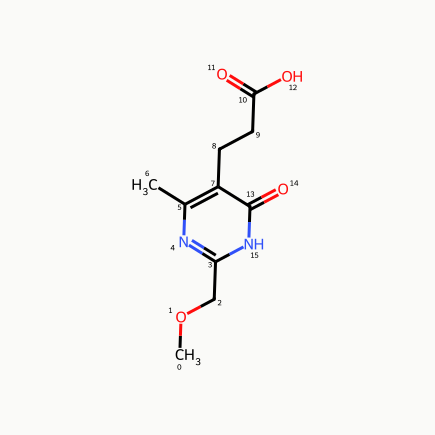 COCc1nc(C)c(CCC(=O)O)c(=O)[nH]1